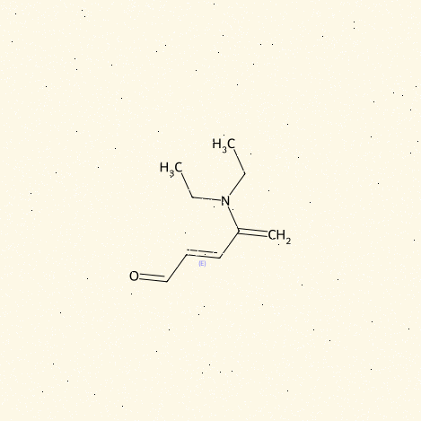 C=C(/C=C/C=O)N(CC)CC